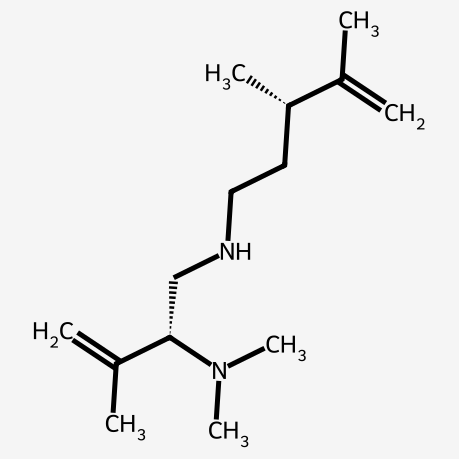 C=C(C)[C@@H](C)CCNC[C@@H](C(=C)C)N(C)C